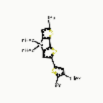 CCCCCCc1cc(-c2cc3c(s2)-c2sc(C(C)(C)C)cc2[Si]3(CCCCCC)CCCCCC)sc1C(C)C